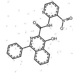 O=C(Nc1ncccc1[N+](=O)[O-])c1nc(-c2ccccc2)c2ccccc2c1O